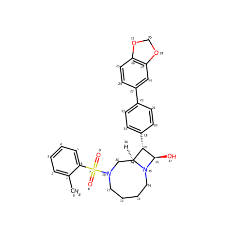 Cc1ccccc1S(=O)(=O)N1CCCCN2[C@H](O)[C@@H](c3ccc(-c4ccc5c(c4)OCO5)cc3)[C@@H]2C1